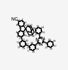 N#Cc1ccc2c(c1)-c1ccc(-c3cccc(-c4cccc(-c5nc(-c6ccccc6)nc(-c6ccccc6)n5)c4)c3)cc1C21C2CC3CC(C2)CC1C3